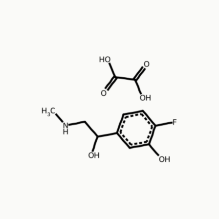 CNCC(O)c1ccc(F)c(O)c1.O=C(O)C(=O)O